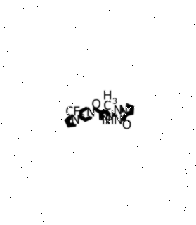 Cc1c(C(=O)N2CCC(n3cccc3C(F)(F)F)CC2)cnn1-c1nn2cccc2c(=O)[nH]1